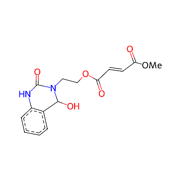 COC(=O)/C=C/C(=O)OCCN1C(=O)Nc2ccccc2C1O